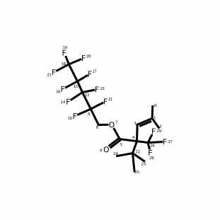 CC(C)=CC(C(=O)OCC(F)(F)C(F)(F)C(F)(F)C(F)(F)F)(C(C)(C)C)C(F)(F)F